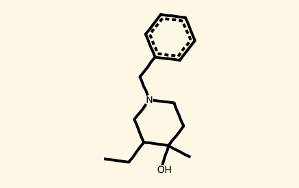 CCC1CN(Cc2ccccc2)CCC1(C)O